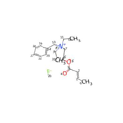 CC=CC(=O)OCC[N+](CC)(CC)Cc1ccccc1.[F-]